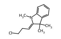 CN1C(=CCCCl)C(C)(C)c2ccccc21